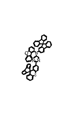 c1ccc2c(c1)Sc1ccc(-c3ncc(N(c4ccc5c(c4)C4(c6ccccc6-c6ccccc64)c4ccccc4-5)c4cccc5oc6ccccc6c45)cn3)cc1C21c2ccccc2-c2ccccc21